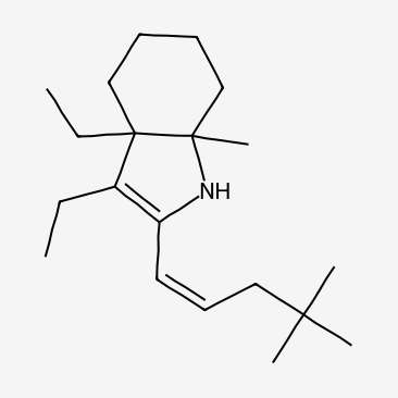 CCC1=C(/C=C\CC(C)(C)C)NC2(C)CCCCC12CC